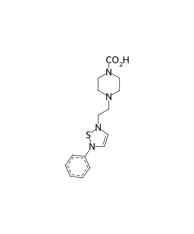 O=C(O)N1CCN(CCN2C=CN(c3ccccc3)S2)CC1